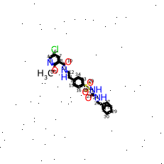 COc1ncc(Cl)cc1C(=O)NCCc1ccc(S(=O)(=O)NC(=O)NCC2CC3C=CC2C3)cc1